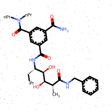 CCCN(CCC)C(=O)c1cc(C(N)=O)cc(C(=O)N[C@@H](CC(C)C)[C@@H](O)[C@H](O)[C@@H](C)C(=O)NCc2ccccc2)c1